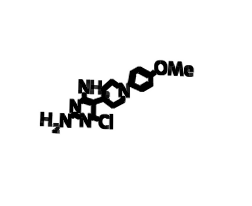 COc1ccc(N2CCC(c3c(N)nc(N)nc3Cl)CC2)cc1